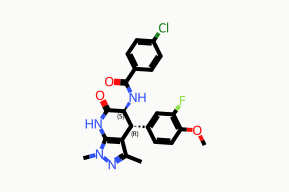 COc1ccc([C@@H]2c3c(C)nn(C)c3NC(=O)[C@H]2NC(=O)c2ccc(Cl)cc2)cc1F